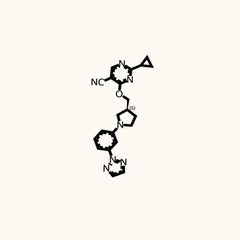 N#Cc1cnc(C2CC2)nc1OC[C@H]1CCN(c2cccc(-n3nccn3)c2)C1